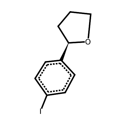 Ic1ccc([C@H]2CCCO2)cc1